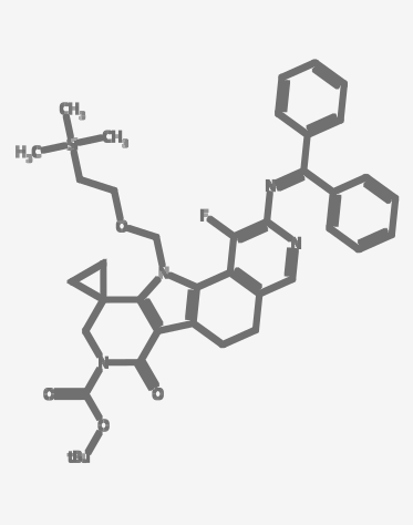 CC(C)(C)OC(=O)N1CC2(CC2)c2c(c3c(n2COCC[Si](C)(C)C)-c2c(cnc(N=C(c4ccccc4)c4ccccc4)c2F)CC3)C1=O